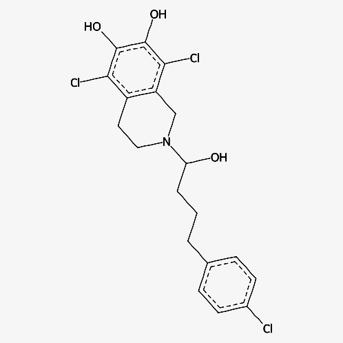 Oc1c(O)c(Cl)c2c(c1Cl)CCN(C(O)CCCc1ccc(Cl)cc1)C2